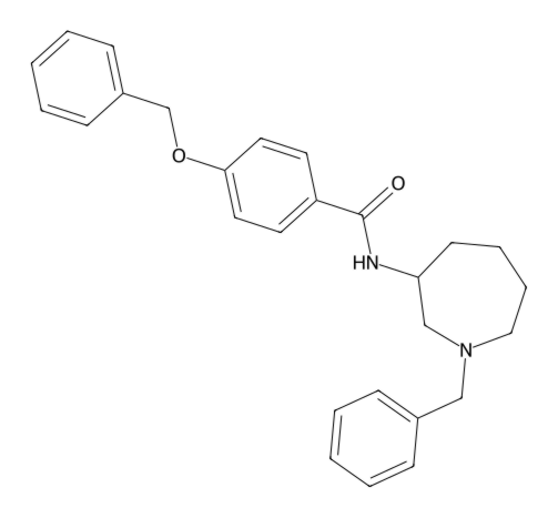 O=C(NC1CCCCN(Cc2ccccc2)C1)c1ccc(OCc2ccccc2)cc1